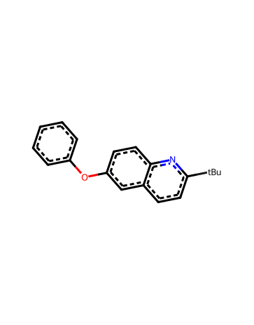 CC(C)(C)c1ccc2cc(Oc3ccccc3)ccc2n1